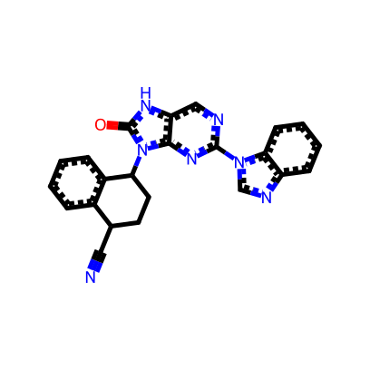 N#CC1CCC(n2c(=O)[nH]c3cnc(-n4cnc5ccccc54)nc32)c2ccccc21